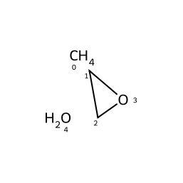 C.C1CO1.O